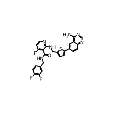 Nc1ncnc2ccc(-c3ccc(CNc4nccc(F)c4C(=O)NCc4ccc(F)c(F)c4)s3)cc12